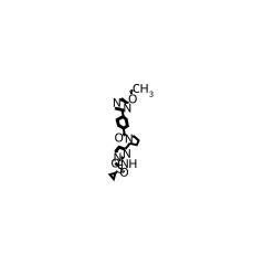 CCOc1cncc(-c2ccc(C(=O)N3CCCC3c3ccnc(NS(=O)(=O)C4CC4)n3)cc2)n1